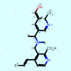 CC/C=C/c1ccnc(C(=O)O)c1CN(C)C(C)C(/C=N\CC(F)(F)F)=C/C(C)=C/O